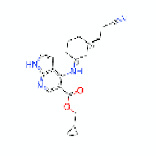 N#CCC[C@@H]1CCC[C@H](Nc2c(C(=O)OCC3CC3)cnc3[nH]ccc23)C1